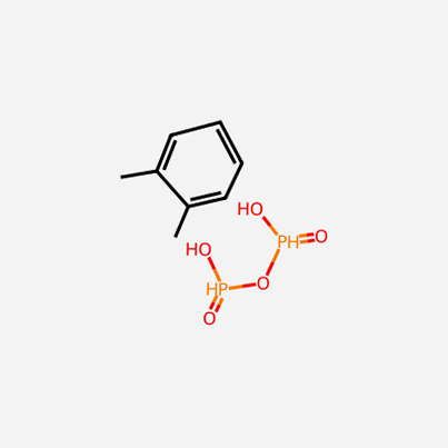 Cc1ccccc1C.O=[PH](O)O[PH](=O)O